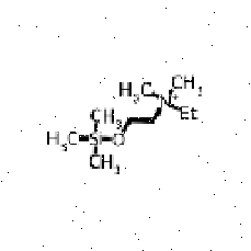 CC[N+](C)(C)CCO[Si](C)(C)C